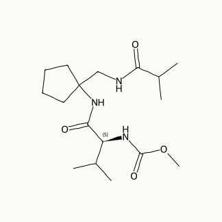 COC(=O)N[C@H](C(=O)NC1(CNC(=O)C(C)C)CCCC1)C(C)C